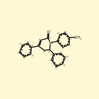 Cc1ccc(N2C(=O)C=C(c3ccccc3)CC2c2ccccc2)cc1